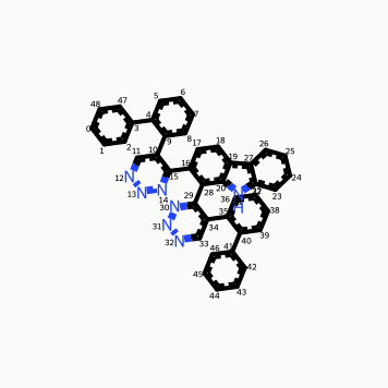 c1ccc(-c2ccccc2-c2cnnnc2-c2ccc3c([nH]c4ccccc43)c2-c2nnncc2-c2ccccc2-c2ccccc2)cc1